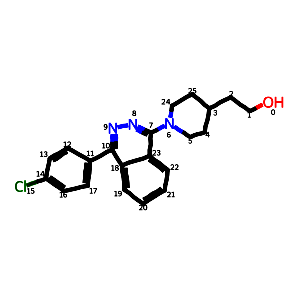 OCCC1CCN(c2nnc(-c3ccc(Cl)cc3)c3ccccc23)CC1